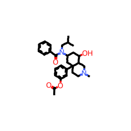 CC(=O)Oc1cccc(C23CCN(C)CC2C(O)CC(N(CC(C)C)C(=O)c2ccccc2)C3)c1